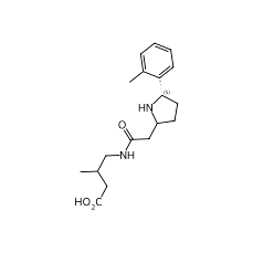 Cc1ccccc1[C@@H]1CCC(CC(=O)NCC(C)CC(=O)O)N1